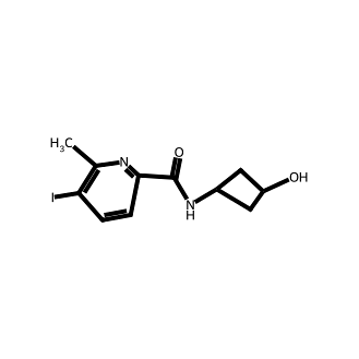 Cc1nc(C(=O)NC2CC(O)C2)ccc1I